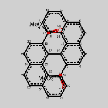 COC(=O)c1ccc2ccc3ccccc3c2c1-c1c(C(=O)OC)ccc2ccc3ccccc3c12